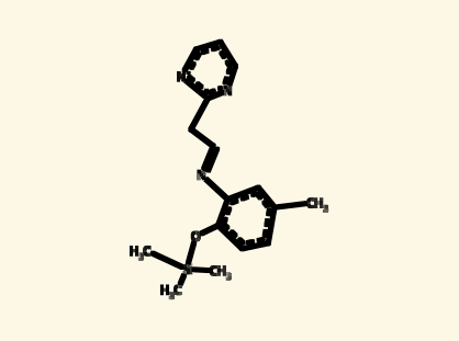 Cc1ccc(O[Si](C)(C)C)c(N=CCc2ncccn2)c1